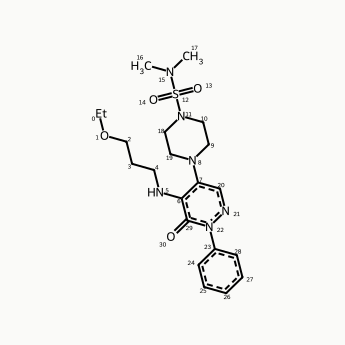 CCOCCCNc1c(N2CCN(S(=O)(=O)N(C)C)CC2)cnn(-c2ccccc2)c1=O